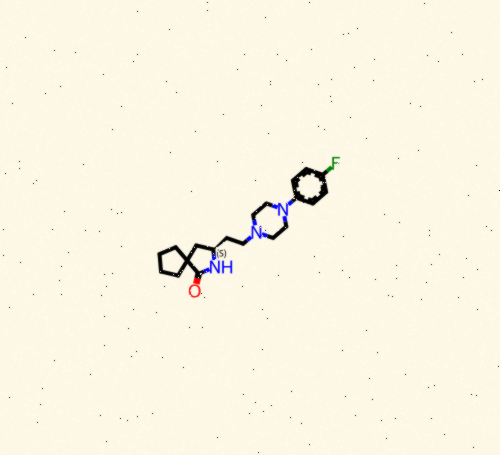 O=C1N[C@H](CCN2CCN(c3ccc(F)cc3)CC2)CC12CCCC2